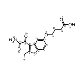 CCc1sc2ccc(OCCCC(=O)O)cc2c1C(=O)C(N)=O